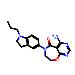 CCCN1CCc2cc(N3CCOc4ncnc(N)c4C3=O)ccc21